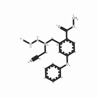 COC(=O)c1ccc(Oc2ccccc2)cc1CN(CC#N)SOI